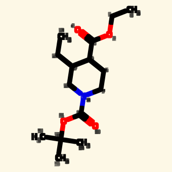 CCOC(=O)C1CCN(C(=O)OC(C)(C)C)CC1CC